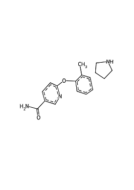 C1CCNC1.Cc1ccccc1Oc1ccc(C(N)=O)cn1